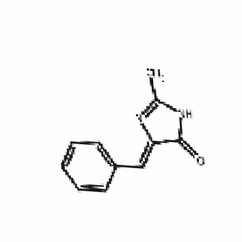 CC1=N/C(=C\c2ccccc2)C(=O)N1